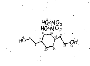 O=[N+]([O-])O.O=[N+]([O-])O.OCCC1CCC(CCO)CC1